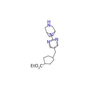 CCOC(=O)C1CCC(Cc2cnc(N3C4CCC3CNC4)nc2)CC1